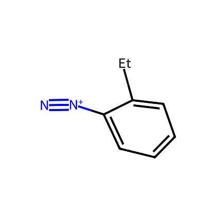 CCc1ccccc1[N+]#N